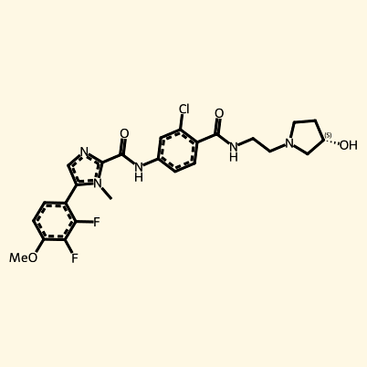 COc1ccc(-c2cnc(C(=O)Nc3ccc(C(=O)NCCN4CC[C@H](O)C4)c(Cl)c3)n2C)c(F)c1F